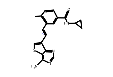 Cc1ccc(C(=O)NC2CC2)cc1/C=C/c1csc2c(N)ncnc12